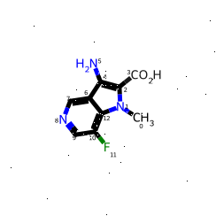 Cn1c(C(=O)O)c(N)c2cncc(F)c21